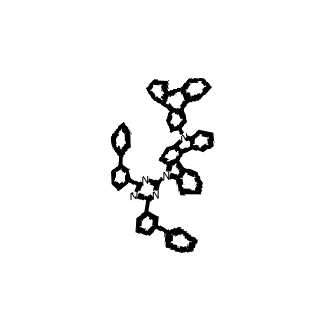 c1ccc(-c2cccc(-c3nc(-c4cccc(-c5ccccc5)c4)nc(-n4c5ccccc5c5c6c7ccccc7n(-c7ccc8c9ccccc9c9ccccc9c8c7)c6ccc54)n3)c2)cc1